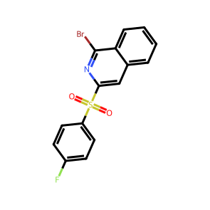 O=S(=O)(c1ccc(F)cc1)c1cc2ccccc2c(Br)n1